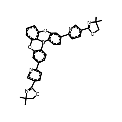 CC1(C)COC(c2ccc(-c3ccc4c(c3)Oc3cccc5c3B4c3ccc(-c4ccc(C6=NC(C)(C)CO6)cn4)cc3O5)nc2)=N1